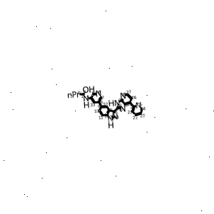 CCCC(O)Nc1cncc(-c2ccc3[nH]nc(-c4nc5c(-c6ccccn6)ccnc5[nH]4)c3c2)c1